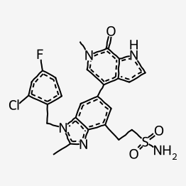 Cc1nc2c(CCS(N)(=O)=O)cc(-c3cn(C)c(=O)c4[nH]ccc34)cc2n1Cc1ccc(F)cc1Cl